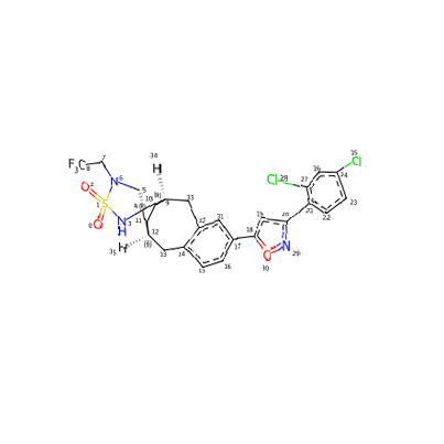 O=S1(=O)N[C@@]2(CN1CC(F)(F)F)[C@@H]1CC[C@H]2Cc2ccc(-c3cc(-c4ccc(Cl)cc4Cl)no3)cc2C1